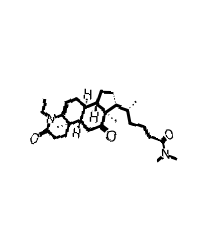 CCN1C(=O)CC[C@@]2(C)C1=CC[C@H]1[C@@H]3CC[C@H]([C@H](C)CCCC(=O)N(C)C)[C@@]3(C)C(=O)C[C@@H]12